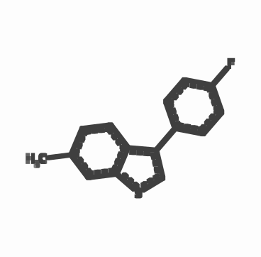 Cc1ccc2c(-c3ccc(F)cc3)csc2c1